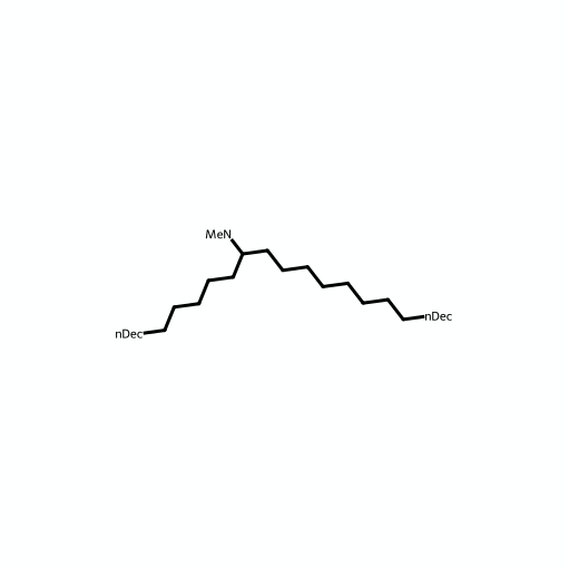 CCCCCCCCCCCCCCCCCCC(CCCCCCCCCCCCCCC)NC